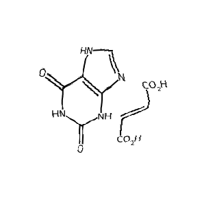 O=C(O)/C=C/C(=O)O.O=c1[nH]c(=O)c2[nH]cnc2[nH]1